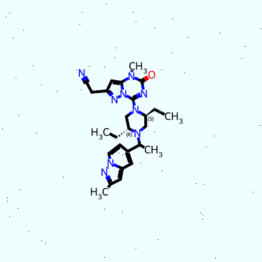 CC[C@H]1CN(C(C)c2ccn3nc(C)cc3c2)[C@H](CC)CN1c1nc(=O)n(C)c2cc(CC#N)nn12